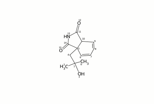 CC(C)(O)CC12C=CC=CC1C(=O)NC2=O